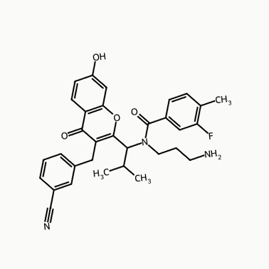 Cc1ccc(C(=O)N(CCCN)C(c2oc3cc(O)ccc3c(=O)c2Cc2cccc(C#N)c2)C(C)C)cc1F